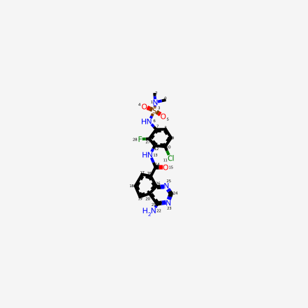 CN(C)S(=O)(=O)Nc1ccc(Cl)c(NC(=O)c2cccc3c(N)ncnc23)c1F